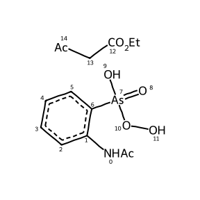 CC(=O)Nc1ccccc1[As](=O)(O)OO.CCOC(=O)CC(C)=O